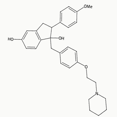 COc1ccc(C2Cc3cc(O)ccc3C2(O)Cc2ccc(OCCN3CCCCC3)cc2)cc1